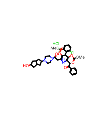 COC(=O)OC1=C(CC(=O)c2ccccc2)NC(CC(=O)N2CCN(C3CC4CC(O)CC4C3)CC2)=C(OC(=O)OC)C1c1c(Cl)cccc1Cl.Cl